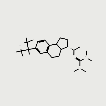 CC(N=C(N(C)C)N(C)C)[C@@H]1CCC2c3ccc(C(F)(C(F)(F)F)C(F)(F)F)cc3CCC21